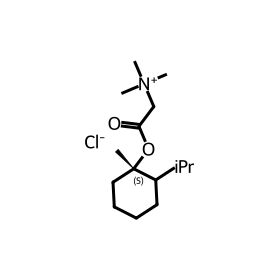 CC(C)C1CCCC[C@]1(C)OC(=O)C[N+](C)(C)C.[Cl-]